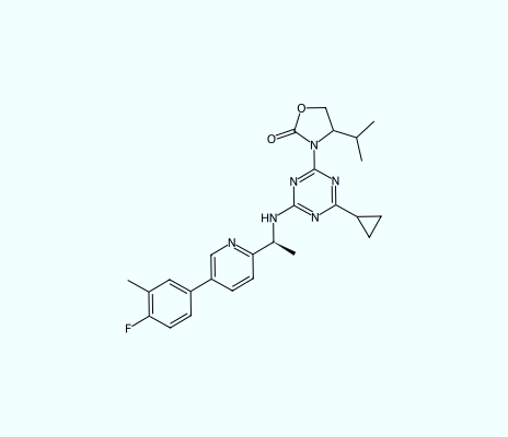 Cc1cc(-c2ccc([C@H](C)Nc3nc(C4CC4)nc(N4C(=O)OCC4C(C)C)n3)nc2)ccc1F